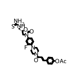 CC(=O)Oc1ccc(C=CC(=O)N2CCN(c3ccc(N4C[C@H](CNC(N)=S)OC4=O)cc3F)CC2)cc1